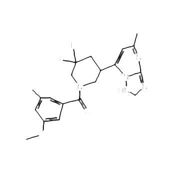 COc1cc(F)cc(C(=O)N2CC(C3=CC(C)=NC4=NCNN34)CC(F)(F)C2)c1